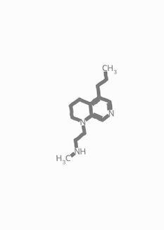 CCCc1cncc2c1CCCN2CCNC